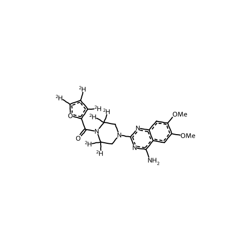 [2H]c1oc(C(=O)N2C([2H])([2H])CN(c3nc(N)c4cc(OC)c(OC)cc4n3)CC2([2H])[2H])c([2H])c1[2H]